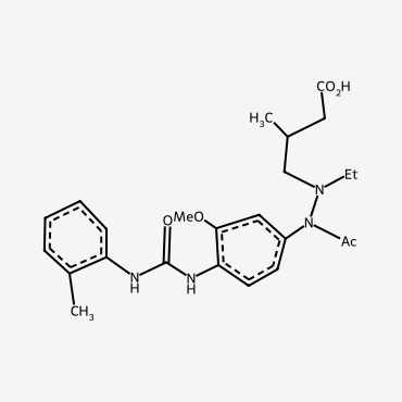 CCN(CC(C)CC(=O)O)N(C(C)=O)c1ccc(NC(=O)Nc2ccccc2C)c(OC)c1